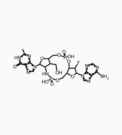 Cc1nc2c(ncn2C2OC3COP(=O)(O)OC4C(COP(=O)(O)NC2C3CO)OC(n2cnc3c(N)ncnc32)C4F)c(=O)[nH]1